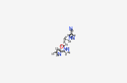 C=C(CCC(=O)N1N=CCC1c1ccc(C)cn1)Cn1cc(C#N)cn1